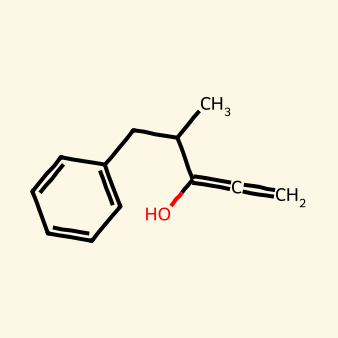 C=C=C(O)C(C)Cc1ccccc1